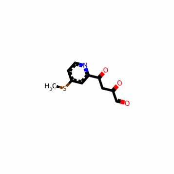 CSc1ccnc(C(=O)CC(=O)C=O)c1